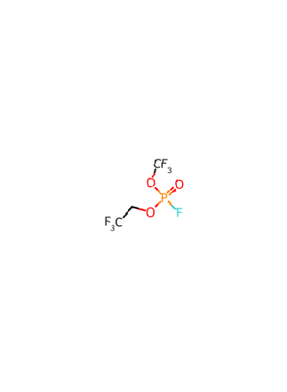 O=P(F)(OCC(F)(F)F)OC(F)(F)F